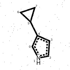 [c]1[nH]ccc1C1CC1